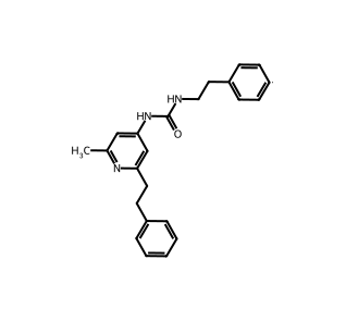 Cc1cc(NC(=O)NCCc2cc[c]cc2)cc(CCc2ccccc2)n1